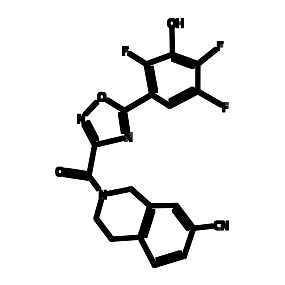 N#Cc1ccc2c(c1)CN(C(=O)c1noc(-c3cc(F)c(F)c(O)c3F)n1)CC2